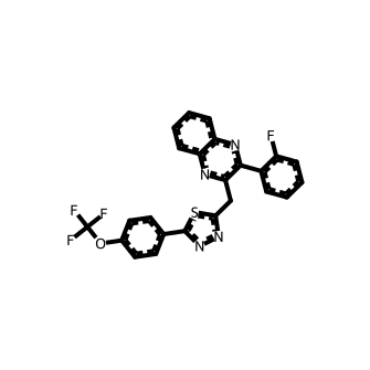 Fc1ccccc1-c1nc2ccccc2nc1Cc1nnc(-c2ccc(OC(F)(F)F)cc2)s1